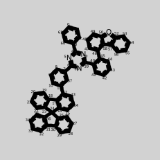 c1ccc(-c2nc(-c3cccc(-c4cccc5c4-c4ccccc4C54c5ccccc5-c5ccccc54)c3)nc(-c3ccccc3-c3cccc4oc5ccccc5c34)n2)cc1